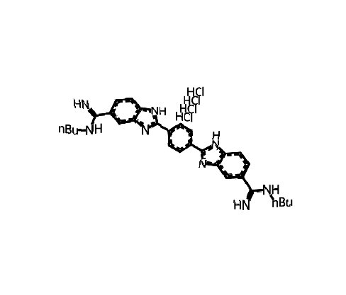 CCCCNC(=N)c1ccc2[nH]c(-c3ccc(-c4nc5cc(C(=N)NCCCC)ccc5[nH]4)cc3)nc2c1.Cl.Cl.Cl.Cl